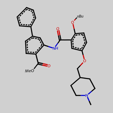 CCCCOc1ccc(OCC2CCN(C)CC2)cc1C(=O)Nc1cc(-c2ccccc2)ccc1C(=O)OC